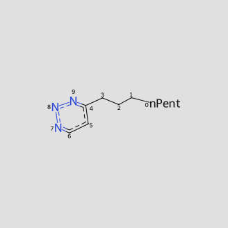 CCCCCCCCc1ccnnn1